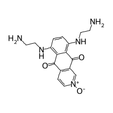 NCCNc1ccc(NCCN)c2c1C(=O)c1cc[n+]([O-])cc1C2=O